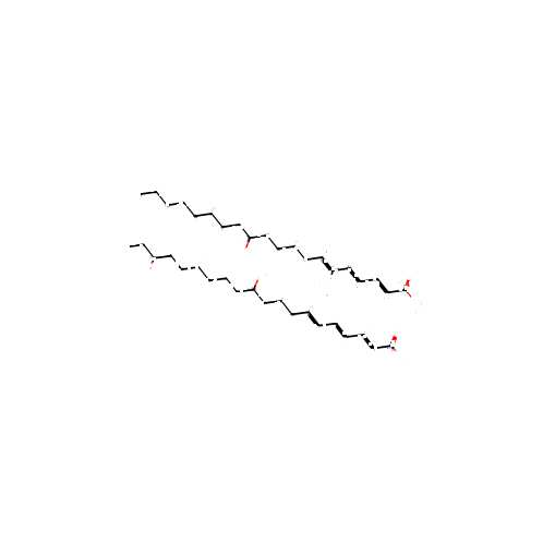 CCC(O)CCCCCCC(O)CCC/C=C/C=C/C=C/C(=O)O.CCCCCCCCC(O)CCCC/C=C(O)/C=C/C=C/C(=O)O